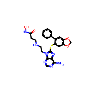 Nc1ncnc2c1nc(Sc1cc3c(cc1-c1ccccc1)OCO3)n2CCNCCC(=O)NO